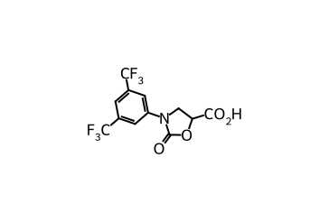 O=C(O)C1CN(c2cc(C(F)(F)F)cc(C(F)(F)F)c2)C(=O)O1